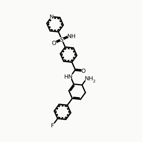 N=S(=O)(c1ccncc1)c1ccc(C(=O)NC2=CC(c3ccc(F)cc3)=CCC2N)cc1